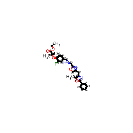 CCOC(=O)C(C)(C)Oc1ccc(CNCc2nc(Cc3nc(-c4ccccc4)oc3C)co2)cc1F